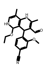 CCOC1NC=C(C)C2=C1C(c1ccc(C#N)cc1OC)C(C=O)=C(C)N2